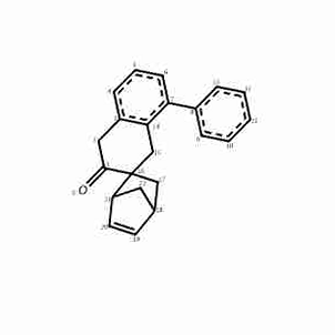 O=C1Cc2cccc(-c3ccccc3)c2CC12CC1C=CC2C1